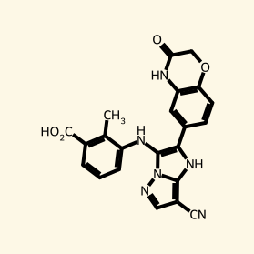 Cc1c(Nc2c(-c3ccc4c(c3)NC(=O)CO4)[nH]c3c(C#N)cnn23)cccc1C(=O)O